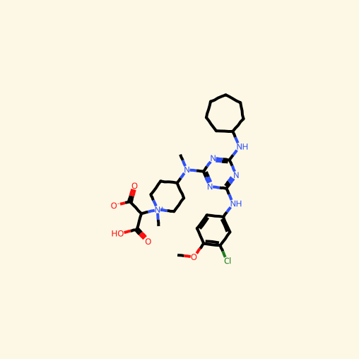 COc1ccc(Nc2nc(NC3CCCCCC3)nc(N(C)C3CC[N+](C)(C(C(=O)[O-])C(=O)O)CC3)n2)cc1Cl